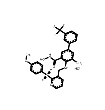 COc1ccc(S(=O)(=O)c2ncccc2CNc2c(C)cc(-c3cccc(C(F)(F)F)c3)cc2C(=O)NO)cc1.Cl